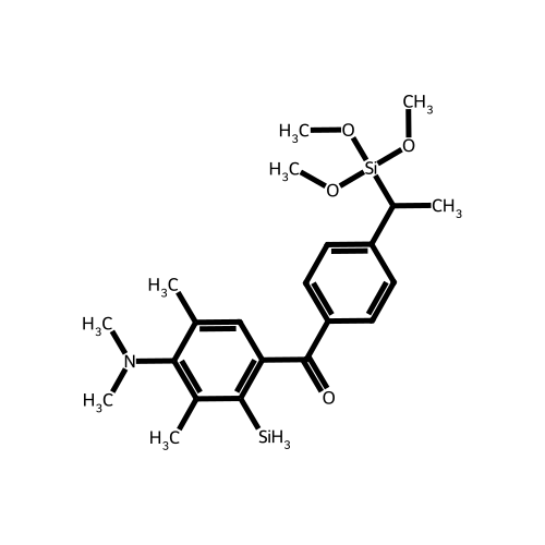 CO[Si](OC)(OC)C(C)c1ccc(C(=O)c2cc(C)c(N(C)C)c(C)c2[SiH3])cc1